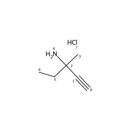 C#CC(C)(N)CC.Cl